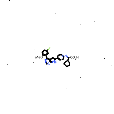 COc1ccc(F)cc1-c1ncnc2[nH]c(C3=CCC(N[C@H](C(=O)O)C4CCCCC4)CC3)cc12